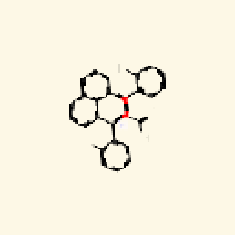 O=C(O)C=C(c1ccccc1F)c1cccc2cccc(/C(=C\C(=O)O)c3ccccc3F)c12